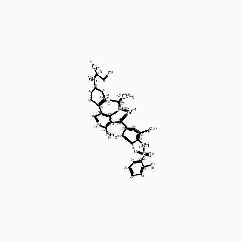 CC(CF)NC1CC=C(c2cnc(N)c3c(-c4ccc(NS(=O)(=O)c5ccccc5Cl)c(F)c4)nn(C(C)C)c23)CC1